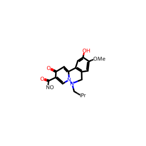 COc1cc2c(cc1O)-c1cc(=O)c(C(=O)N=O)cn1N(CC(C)C)C2